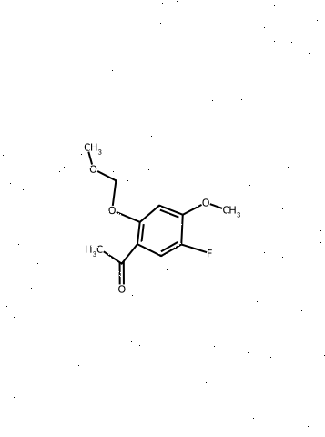 COCOc1cc(OC)c(F)cc1C(C)=O